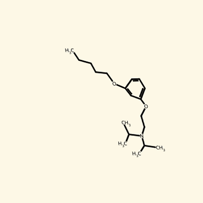 CCCCCOc1cccc(OCCN(C(C)C)C(C)C)c1